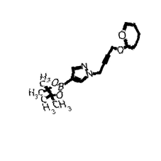 CC1(C)OB(c2cnn(CC#CCOC3CCCCO3)c2)OC1(C)C